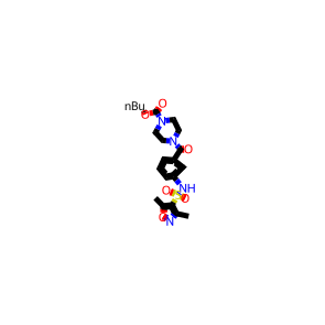 CCCCOC(=O)N1CCN(C(=O)c2cccc(NS(=O)(=O)c3c(C)noc3C)c2)CC1